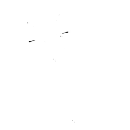 C[C@]12CC[C@](C)(O1)[C@@H]1C(=O)N(c3ccc(C#N)c(OC(F)(F)F)c3)C(=O)[C@@H]12